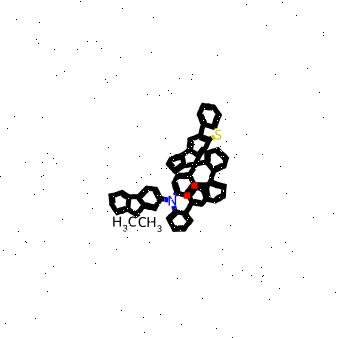 CC1(C)c2ccccc2-c2ccc(N(c3ccc4c(c3)-c3ccccc3-c3ccccc3C43c4ccccc4-c4cc5c(cc43)sc3ccccc35)c3ccccc3-c3ccccc3)cc21